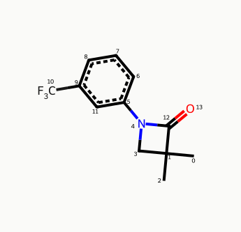 CC1(C)CN(c2cccc(C(F)(F)F)c2)C1=O